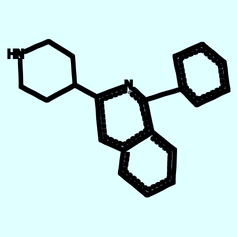 c1ccc(-c2nc(C3CCNCC3)cc3ccccc23)cc1